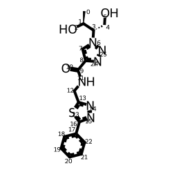 C[C@H](O)[C@H](CO)n1cc(C(=O)NCc2nnc(-c3ccccc3)s2)nn1